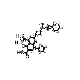 CN(C)c1cc(N2CC(C(=O)NCC3CCCCO3)C2)nc2c1c(=O)c(C(=O)O)cn2-c1nccs1